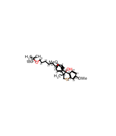 COc1ccc(C2(C)CSc3cc(OC)ccc3C2(O)C#CCCCCCCCO[Si](C)(C)C(C)(C)C)cc1